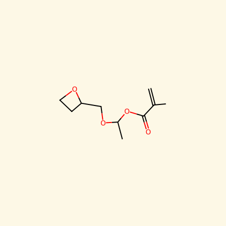 C=C(C)C(=O)OC(C)OCC1CCO1